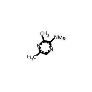 CNc1ncc(C)nc1C